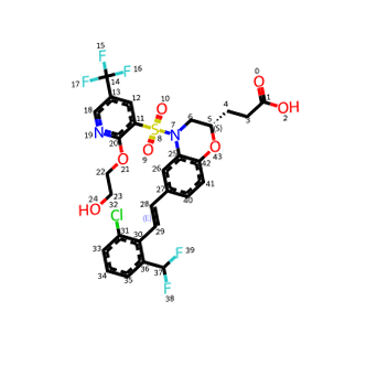 O=C(O)CC[C@H]1CN(S(=O)(=O)c2cc(C(F)(F)F)cnc2OCCO)c2cc(/C=C/c3c(Cl)cccc3C(F)F)ccc2O1